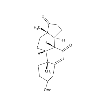 CC(=O)OC1CC[C@@]2(C)C(=CC(=O)[C@@H]3[C@H]2CC[C@]2(C)C(=O)CC[C@@H]32)C1